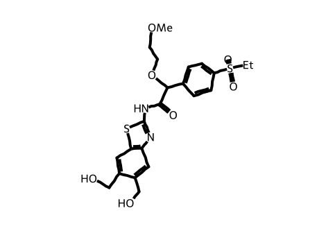 CCS(=O)(=O)c1ccc(C(OCCOC)C(=O)Nc2nc3cc(CO)c(CO)cc3s2)cc1